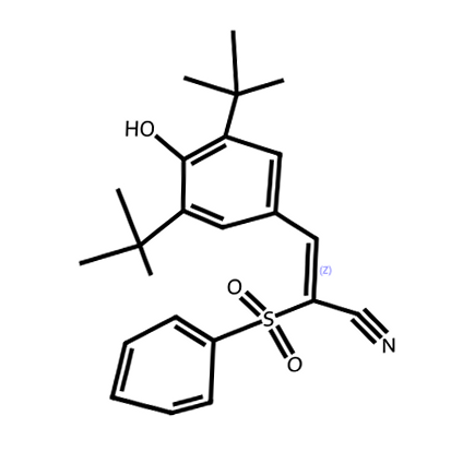 CC(C)(C)c1cc(/C=C(/C#N)S(=O)(=O)c2ccccc2)cc(C(C)(C)C)c1O